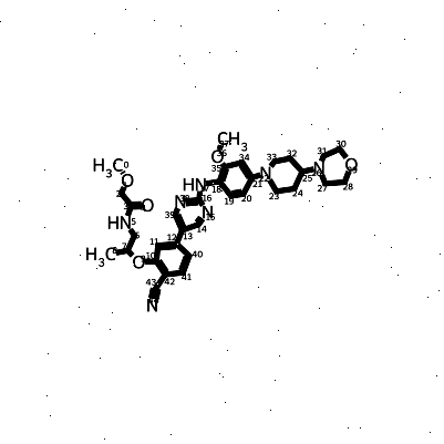 COCC(=O)NCC(C)Oc1cc(-c2cnc(Nc3ccc(N4CCC(N5CCOCC5)CC4)cc3OC)nc2)ccc1C#N